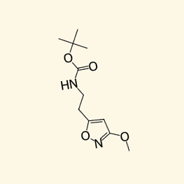 COc1cc(CCNC(=O)OC(C)(C)C)on1